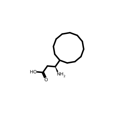 N[C@@H](CC(=O)O)C1CCCCCCCCCCC1